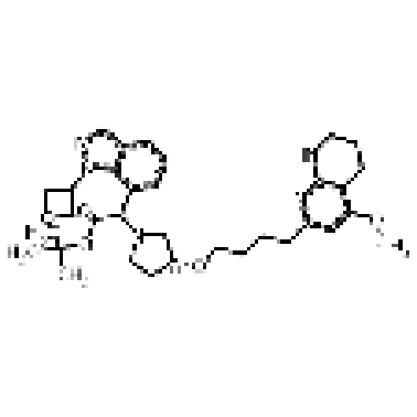 COc1cc(CCCCO[C@@H]2CCN(C(C(=O)OC(C)(C)C)c3cccc4cnn(C5COC5)c34)C2)nc2c1CCCN2